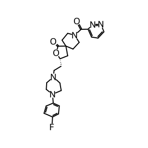 O=C(c1cccnn1)N1CCC2(CC1)C[C@H](CCN1CCN(c3ccc(F)cc3)CC1)OC2=O